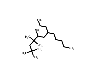 CCCCCC(CCC)CC(N)C(C)(C)CC(C)(C)N